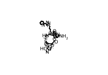 CC[C@H]1OC(=O)[C@H](C)C(=O)[C@H](C)[C@@H](O[C@@H]2O[C@H](C)CC(N(C)C)C2O)[C@](C)(OC)C[C@@H](C)CN[C@H](C)[C@H]2N(C/C=C/Cn3cc(-c4ccccn4)nn3)C(=O)O[C@]12n1ccc(N)nc1=O